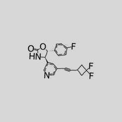 O=C1N[C@H](c2cncc(C#CC3CC(F)(F)C3)c2)[C@@H](c2ccc(F)cc2)O1